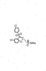 CNS(=O)(=O)CCC[C@@H](C)N(c1cc(Cl)ccc1Cl)S(=O)(=O)c1ccc(Cl)cc1